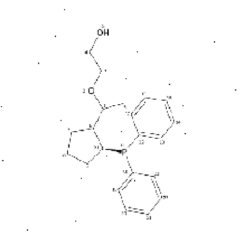 CC(OCCO)C1CCC[C@@H]1P(c1ccccc1)c1ccccc1